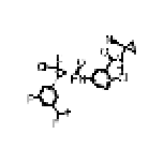 N#CC1(NC(=O)c2cc(NC(=O)[C@H]3[C@H](c4cc(F)cc(C(F)F)c4)C3(Cl)Cl)ccc2Cl)CC1